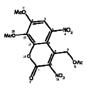 COc1cc([N+](=O)[O-])c2c(COC(C)=O)c([N+](=O)[O-])c(=O)oc2c1OC